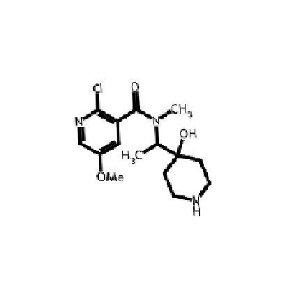 COc1cnc(Cl)c(C(=O)N(C)C(C)C2(O)CCNCC2)c1